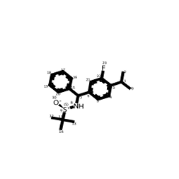 CC(C)c1ccc(C(N[S@+]([O-])C(C)(C)C)c2ccccc2)cc1F